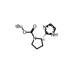 CC(C)(C)OC(=O)N1CCC[C@H]1c1ncc[nH]1